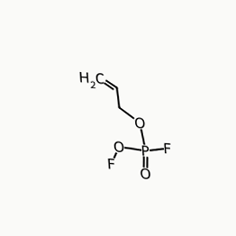 C=CCOP(=O)(F)OF